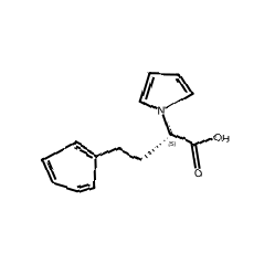 O=C(O)[C@H](CCc1ccccc1)n1cccc1